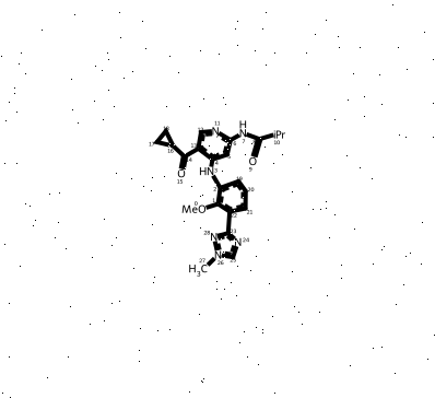 COc1c(Nc2cc(NC(=O)C(C)C)ncc2C(=O)C2CC2)cccc1-c1ncn(C)n1